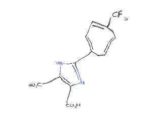 O=C(O)c1nc(-c2ccc(C(F)(F)F)cc2)[nH]c1C(=O)O